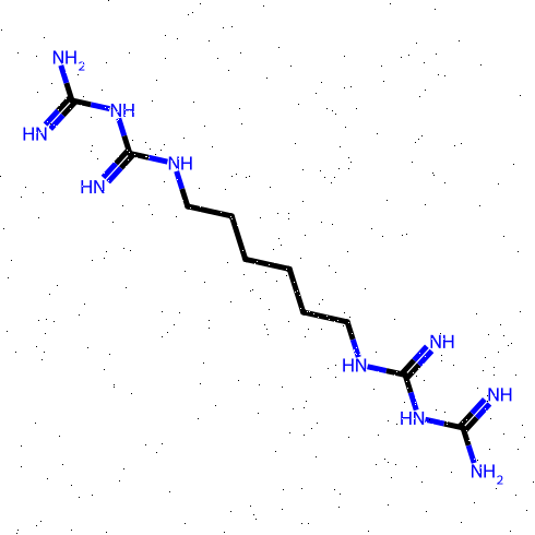 N=C(N)NC(=N)NCCCCCCNC(=N)NC(=N)N